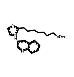 CCCCCCCCCCCCCCCCCc1ncc[nH]1.c1ccc2ncccc2c1